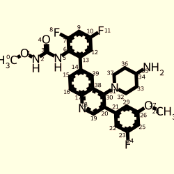 CONC(=O)Nc1c(F)cc(F)cc1-c1ccc2ncc(-c3cc(F)cc(OC)c3)c(N3CCC(N)CC3)c2c1